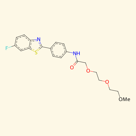 COCCOCCOCC(=O)Nc1ccc(-c2nc3ccc(F)cc3s2)cc1